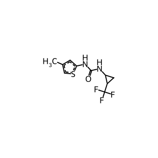 Cc1csc(NC(=O)NC2CC2C(F)(F)F)c1